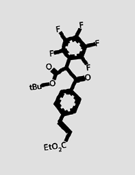 CCOC(=O)C=Cc1ccc(C(=O)C(C(=O)OC(C)(C)C)c2c(F)c(F)c(F)c(F)c2F)cc1